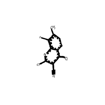 Cc1ccc2c(Cl)c(C#N)c(Cl)nc2c1F